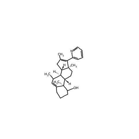 CC1=C(c2ccccn2)[C@@]2(C)CC[C@H]3[C@@H](C(C)C=C4CCCC(O)[C@@]43C)[C@@H]2C1